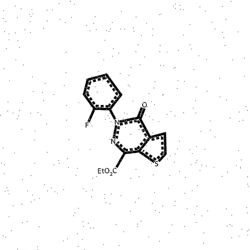 CCOC(=O)c1nn(-c2ccccc2F)c(=O)c2ccsc12